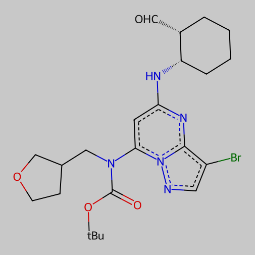 CC(C)(C)OC(=O)N(CC1CCOC1)c1cc(N[C@H]2CCCC[C@H]2C=O)nc2c(Br)cnn12